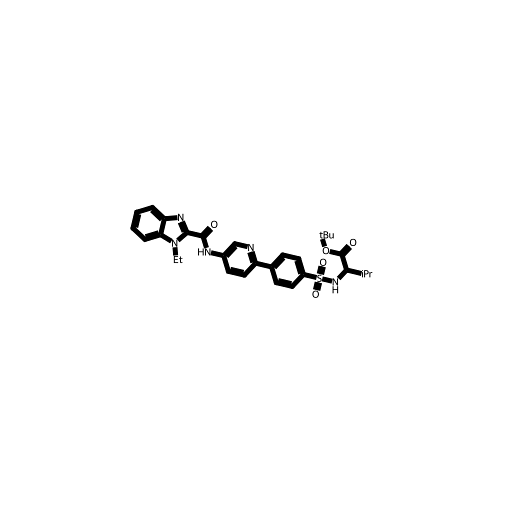 CCn1c(C(=O)Nc2ccc(-c3ccc(S(=O)(=O)NC(C(=O)OC(C)(C)C)C(C)C)cc3)nc2)nc2ccccc21